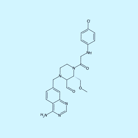 COC[C@@H]1C(C=O)N(Cc2ccc3c(N)ncnc3c2)CCN1C(=O)CNc1ccc(Cl)cc1